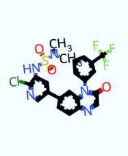 CN(C)S(=O)(=O)Nc1cc(-c2ccc3ncc(=O)n(-c4cccc(C(F)(F)F)c4)c3c2)cnc1Cl